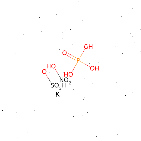 O=P(O)(O)O.O=S(=O)([O-])O.O=[N+]([O-])O.[K+]